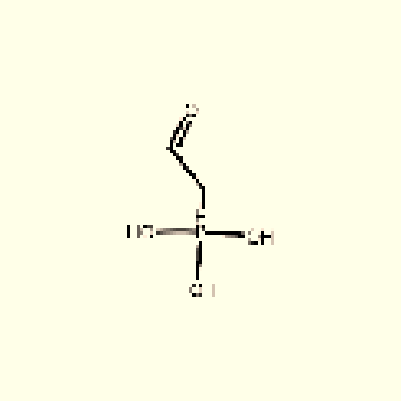 O=CC[PH](O)(O)O